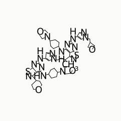 CC(CCn1cc(Nc2nc(NC3CCC(N4CCOCC4)CC3)c3c(C4CCOCC4)nsc3n2)cn1)c1nsc2nc(Nc3cnn(CC4COC4)c3)nc(NC3CCC(N4CCOCC4)CC3)c12